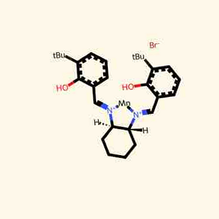 CC(C)(C)c1cccc(C=[N+]2[Mn][N+](=Cc3cccc(C(C)(C)C)c3O)[C@@H]3CCCC[C@H]32)c1O.[Br-]